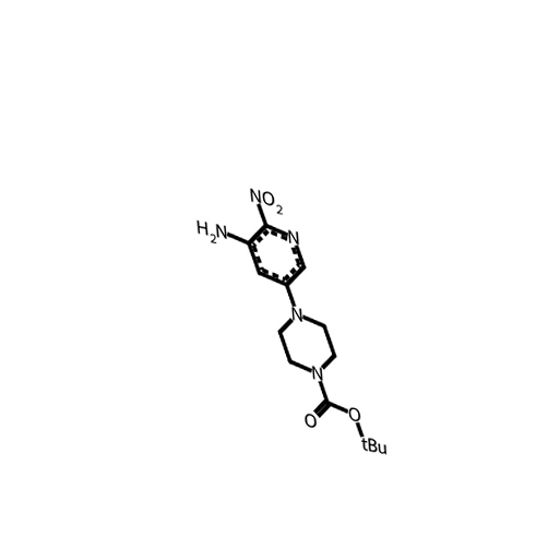 CC(C)(C)OC(=O)N1CCN(c2cnc([N+](=O)[O-])c(N)c2)CC1